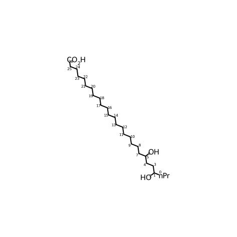 CCCC(O)CCC(O)CCCCCCCCCCCCCCCCCCCC(=O)O